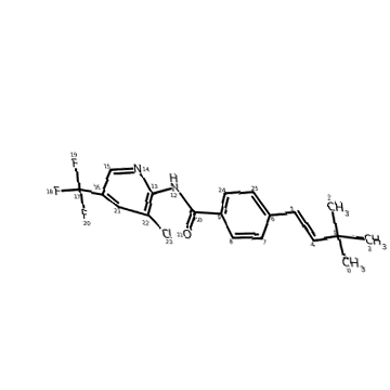 CC(C)(C)/C=C/c1ccc(C(=O)Nc2ncc(C(F)(F)F)cc2Cl)cc1